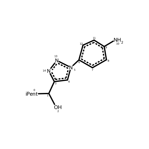 CCCC(C)C(O)c1cn(-c2ccc(N)cc2)nn1